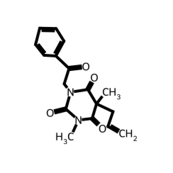 C=CCC1(C)C(=O)N(C)C(=O)N(CC(=O)c2ccccc2)C1=O